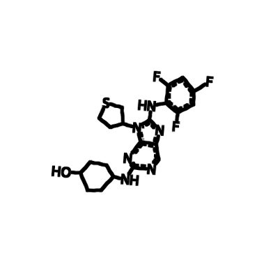 OC1CCC(Nc2ncc3nc(Nc4c(F)cc(F)cc4F)n(C4CCSC4)c3n2)CC1